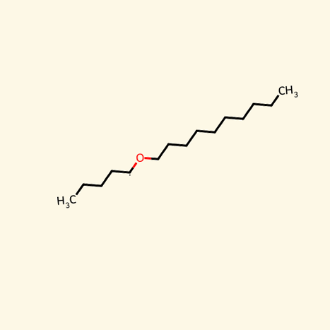 CCCC[CH]OCCCCCCCCCC